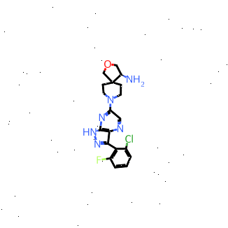 N[C@@H]1COCC12CCN(c1cnc3c(-c4c(F)cccc4Cl)n[nH]c3n1)CC2